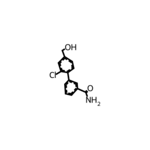 NC(=O)c1cccc(-c2ccc(CO)cc2Cl)c1